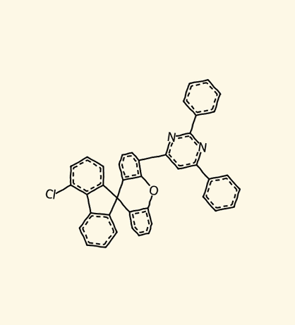 Clc1cccc2c1-c1ccccc1C21c2ccccc2Oc2c(-c3cc(-c4ccccc4)nc(-c4ccccc4)n3)cccc21